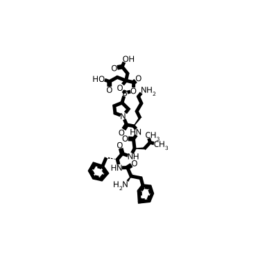 CC(C)C[C@@H](NC(=O)[C@@H](Cc1ccccc1)NC(=O)[C@H](N)Cc1ccccc1)C(=O)N[C@H](CCCCN)C(=O)N1CCC(B2OC(=O)C(CC(=O)O)(CC(=O)O)O2)C1